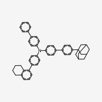 c1ccc(-c2ccc(N(c3ccc(-c4ccc(C56CC7CC(CC(C7)C5)C6)cc4)cc3)c3ccc(-c4cccc5c4CCCC5)cc3)cc2)cc1